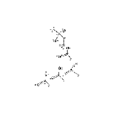 CC(=O)O.CC(=O)O.CC(=O)O.CC(=O)O.NC[C](N)([Na])[Na]